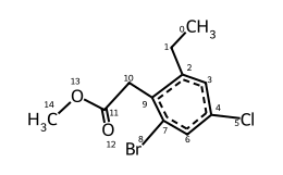 CCc1cc(Cl)cc(Br)c1CC(=O)OC